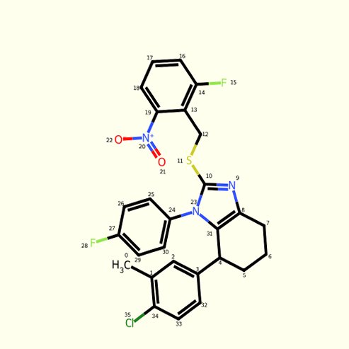 Cc1cc(C2CCCc3nc(SCc4c(F)cccc4[N+](=O)[O-])n(-c4ccc(F)cc4)c32)ccc1Cl